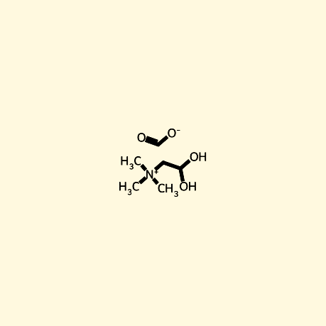 C[N+](C)(C)CC(O)O.O=C[O-]